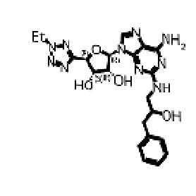 CCn1nnc([C@H]2O[C@@H](n3cnc4c(N)nc(NCC(O)Cc5ccccc5)nc43)[C@H](O)[C@@H]2O)n1